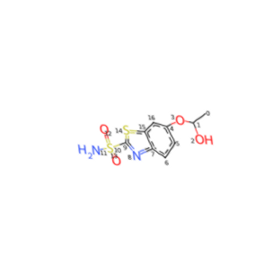 CC(O)Oc1ccc2nc(S(N)(=O)=O)sc2c1